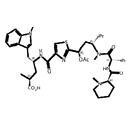 CC(=O)O[C@H](C[C@H](C(C)C)N(C)C(=O)[C@@H](NC(=O)[C@H]1CCCCN1C)C(C)C)c1nc(C(=O)N[C@@H](Cc2cn(C)c3ccccc23)C[C@H](C)C(=O)O)cs1